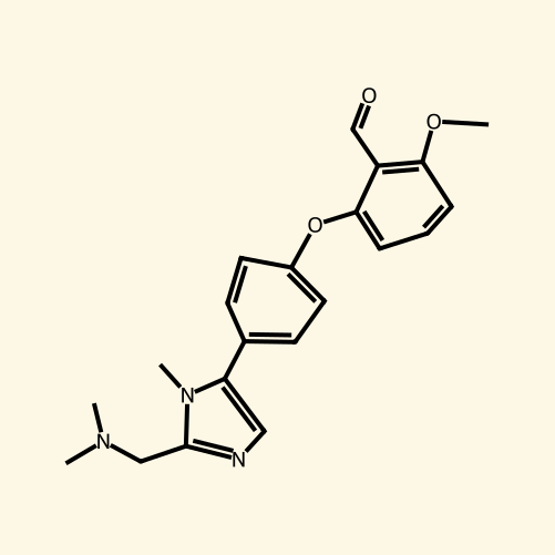 COc1cccc(Oc2ccc(-c3cnc(CN(C)C)n3C)cc2)c1C=O